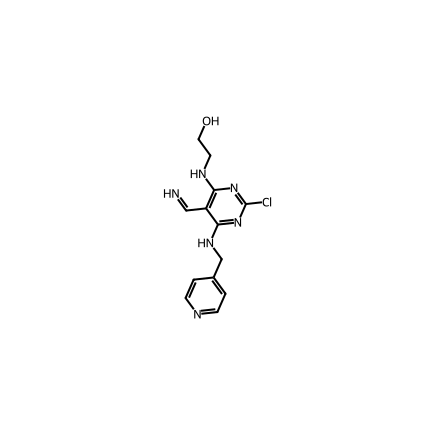 N=Cc1c(NCCO)nc(Cl)nc1NCc1ccncc1